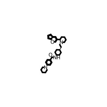 O=C(N[C@H]1CC[C@H](CCN2CCCCC2c2coc3cccc-3c2)CC1)c1ccc(N2CCCCC2)cc1